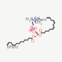 CCCCC/C=C\C/C=C\C/C=C\CCCCC(=O)O[C@H](COC(=O)CCCCCCC/C=C\C/C=C\CCCCC)COP(=O)([O-])OCC[N+](C)(C)C